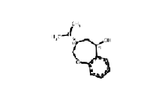 CN(C)[C@H]1COc2ccccc2[C@H](O)C1